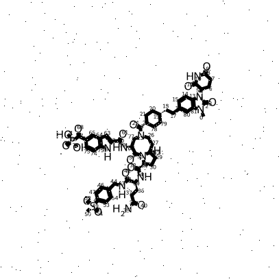 Cn1c(=O)n(C2CCC(=O)NC2=O)c2ccc(CC[C@H]3CC[C@@H](C(=O)N4CC[C@H]5CC[C@@H](C(=O)N[C@@H](CCC(N)=O)C(=O)NCc6ccc(S(C)(=O)=O)cc6)N5C(=O)[C@@H](NC(=O)c5cc6cc(C(=O)P(=O)(O)O)ccc6[nH]5)C4)CC3)cc21